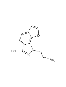 Cl.NCCn1ncc2ccc3ccoc3c21